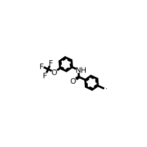 [CH2]c1ccc(C(=O)Nc2cccc(OC(F)(F)F)c2)cc1